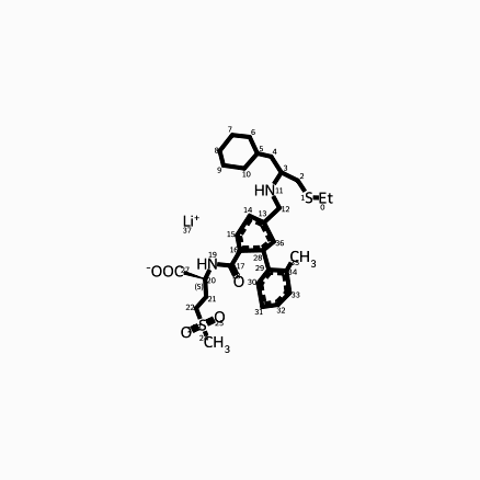 CCSCC(CC1CCCCC1)NCc1ccc(C(=O)N[C@@H](CCS(C)(=O)=O)C(=O)[O-])c(-c2ccccc2C)c1.[Li+]